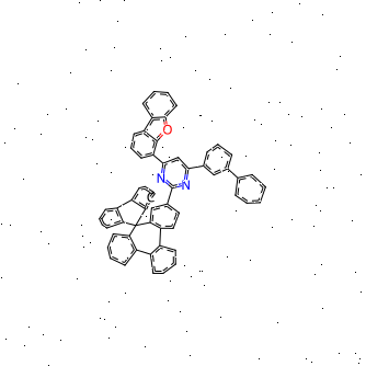 c1ccc(-c2cccc(-c3cc(-c4cccc5c4oc4ccccc45)nc(-c4ccc5c(c4)C4(c6ccccc6-c6ccccc6-5)c5ccccc5-c5ccccc54)n3)c2)cc1